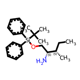 CC[C@H](C)[C@H](N)CO[Si](c1ccccc1)(c1ccccc1)C(C)(C)C